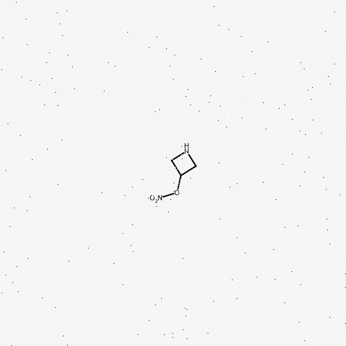 O=[N+]([O-])OC1CNC1